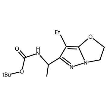 CCc1c(C(C)NC(=O)OC(C)(C)C)nn2c1OCC2